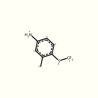 Cc1cc(N)ccc1SC(F)(F)F